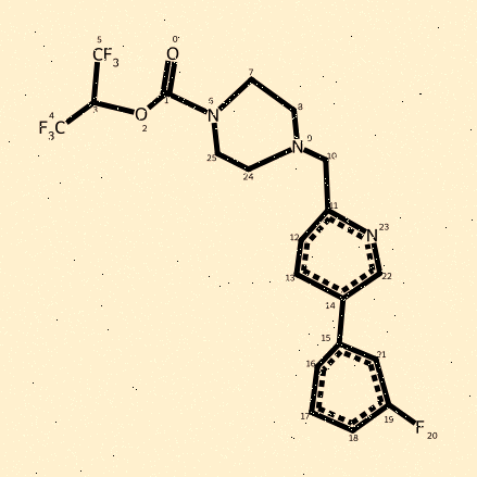 O=C(OC(C(F)(F)F)C(F)(F)F)N1CCN(Cc2ccc(-c3cccc(F)c3)cn2)CC1